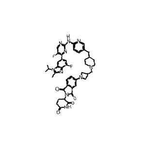 Cc1nc2c(F)cc(-c3nc(Nc4ccc(CC5CCN(CC6CN(c7ccc8c(c7)C(=O)N(C7CCC(=O)NC7=O)C8=O)C6)CC5)cn4)ncc3F)cc2n1C(C)C